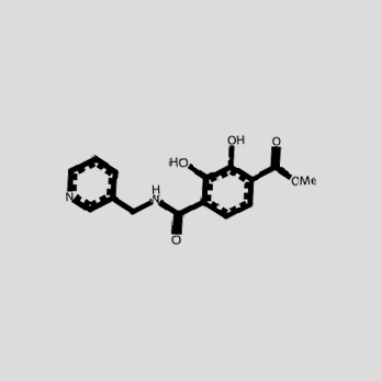 COC(=O)c1ccc(C(=O)NCc2cccnc2)c(O)c1O